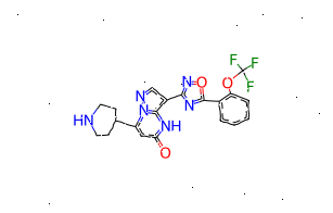 O=c1cc(C2CCNCC2)n2ncc(-c3noc(-c4ccccc4OC(F)(F)F)n3)c2[nH]1